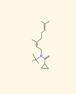 C=C(C1CC1)N(C/C=C(/C)CCC=C(C)C)C(C)(C)C